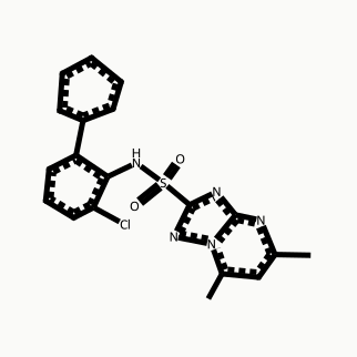 Cc1cc(C)n2nc(S(=O)(=O)Nc3c(Cl)cccc3-c3ccccc3)nc2n1